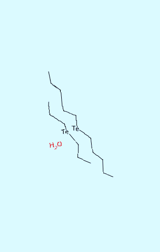 CCCCC[Te]CCCCC.CCC[Te]CCC.O